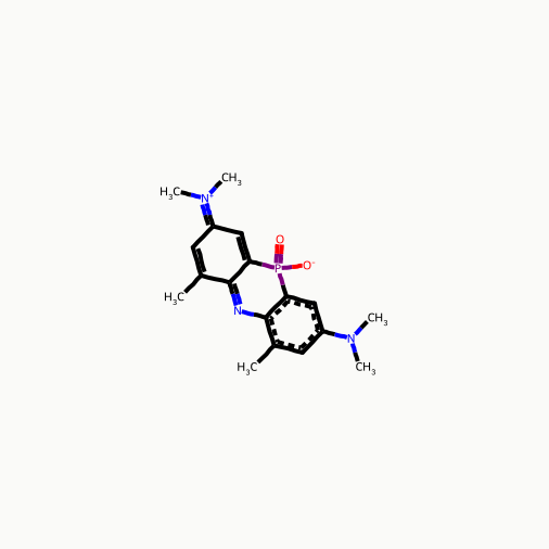 CC1=CC(=[N+](C)C)C=C2C1=Nc1c(C)cc(N(C)C)cc1P2(=O)[O-]